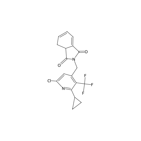 O=C1C2=CC=CCC2C(=O)N1Cc1cc(Cl)nc(C2CC2)c1C(F)(F)F